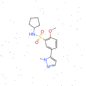 COc1ccc(-c2ccnn2C)cc1S(=O)(=O)NC1CCCC1